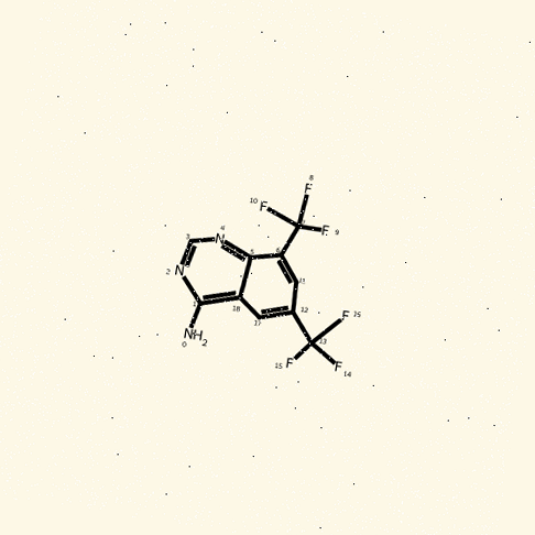 Nc1ncnc2c(C(F)(F)F)cc(C(F)(F)F)cc12